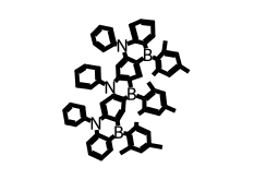 Cc1cc(C)c(B2c3ccccc3N(c3ccccc3)c3cc4c(cc32)B(c2c(C)cc(C)cc2C)c2cc3c(cc2N4c2ccccc2)N(c2ccccc2)c2ccccc2B3c2c(C)cc(C)cc2C)c(C)c1